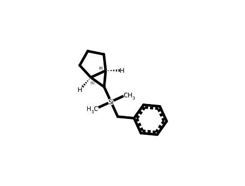 C[Si](C)(Cc1ccccc1)C1[C@H]2CCC[C@@H]12